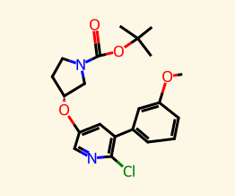 COc1cccc(-c2cc(O[C@@H]3CCN(C(=O)OC(C)(C)C)C3)cnc2Cl)c1